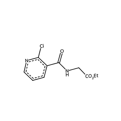 CCOC(=O)CNC(=O)c1cccnc1Cl